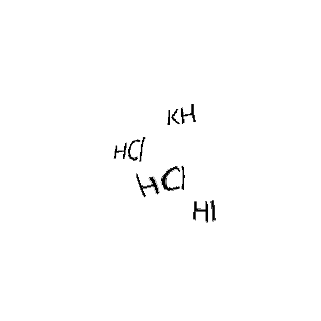 Cl.Cl.I.[KH]